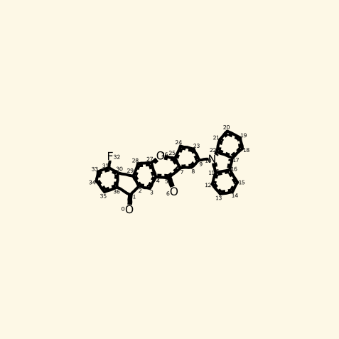 O=C1c2cc3c(=O)c4cc(-n5c6ccccc6c6ccccc65)ccc4oc3cc2-c2c(F)cccc21